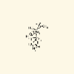 CC(C)=CCC[C@@H](C)[C@H]1CO[C@@]2(C)C3=C(CC[C@]12C)[C@@]1(C)CCC(O)C(C)(C)C1CC3